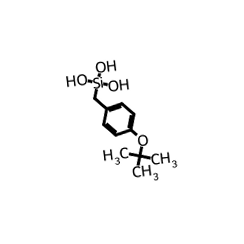 CC(C)(C)Oc1ccc(C[Si](O)(O)O)cc1